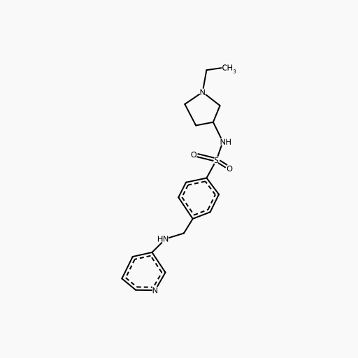 CCN1CCC(NS(=O)(=O)c2ccc(CNc3cccnc3)cc2)C1